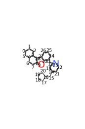 c1ccc2c(c1)ccc1oc3c(-c4cc(CC5CCCC5)ccn4)cccc3c12